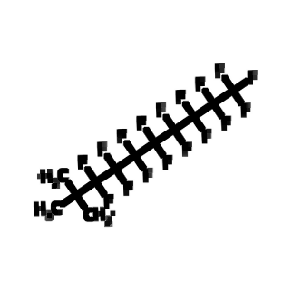 [CH2]C([CH2])(C)C(F)(F)C(F)(F)C(F)(F)C(F)(F)C(F)(F)C(F)(F)C(F)(F)C(F)(F)F